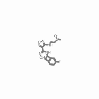 C[S+]([O-])CCNc1nonc1/C(=N/O)NC1Cc2ccc(F)cc21